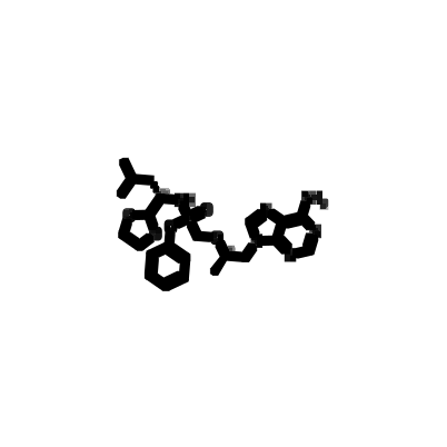 CC(C)C[C@H](NP(=O)(CO[C@H](C)Cn1cnc2c(N)ncnc21)Oc1ccccc1)C1OCCO1